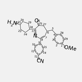 COc1ccc(CC2C=C(c3ccc(C#N)cc3)N=C(C3CCC(N)CC3)C(=O)C2)cc1